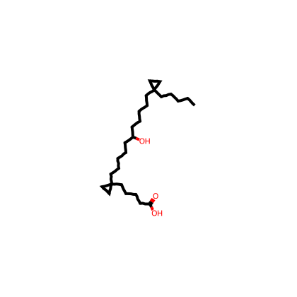 CCCCCC1(CCCCCC(O)CCCCCC2(CCCCC(=O)O)CC2)CC1